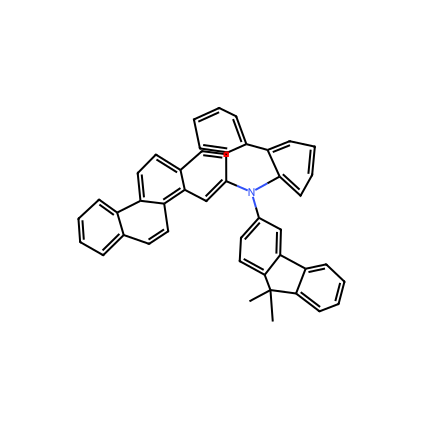 CC1(C)c2ccccc2-c2cc(N(c3ccc4ccc5c6ccccc6ccc5c4c3)c3ccccc3-c3ccccc3)ccc21